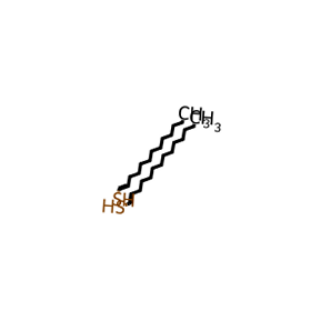 CCCCCCCCCCCC=CS.CCCCCCCCCCCCC=CS